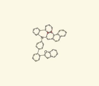 c1ccc(-c2ccccc2N(c2ccc(-c3ccccc3-c3cc4ccccc4o3)cc2)c2ccc3c(ccc4ccccc43)c2)cc1